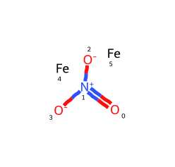 O=[N+]([O-])[O-].[Fe].[Fe]